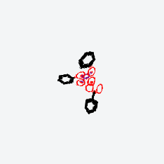 O=C(OOP(=O)(Oc1ccccc1)Oc1ccccc1)c1ccccc1